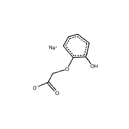 O=C([O-])COc1ccccc1O.[Na+]